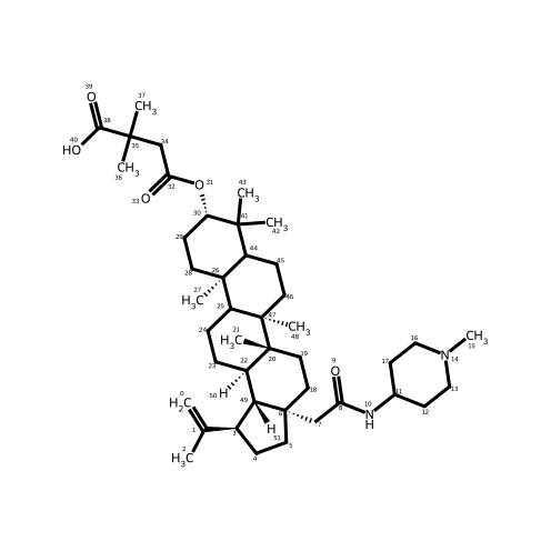 C=C(C)[C@@H]1CC[C@]2(CC(=O)NC3CCN(C)CC3)CC[C@]3(C)[C@H](CCC4[C@@]5(C)CC[C@H](OC(=O)CC(C)(C)C(=O)O)C(C)(C)C5CC[C@]43C)[C@@H]12